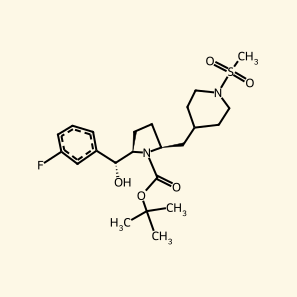 CC(C)(C)OC(=O)N1[C@H](CC2CCN(S(C)(=O)=O)CC2)CC[C@@H]1[C@H](O)c1cccc(F)c1